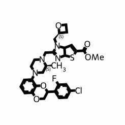 COC(=O)C1=CC2C(N=C(CN3CCN(c4cccc5c4OC(c4ccc(Cl)cc4F)CO5)C[C@@H]3C)N2C[C@@H]2CCO2)S1